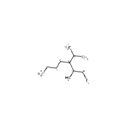 CCCCC(C(C)C)C(O)CF